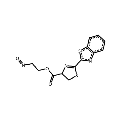 O=NCCOC(=O)C1CSC(c2nc3ccccc3s2)=N1